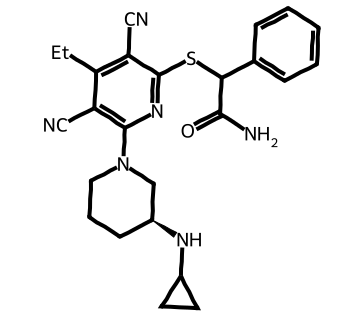 CCc1c(C#N)c(SC(C(N)=O)c2ccccc2)nc(N2CCC[C@H](NC3CC3)C2)c1C#N